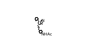 CC(=O)Nc1ccc(CCSC(CCc2ccccc2)Cn2ccnc2)cc1